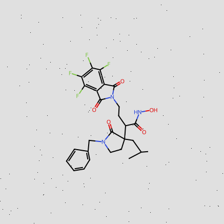 CC(C)CC1(C(CCN2C(=O)c3c(F)c(F)c(F)c(F)c3C2=O)C(=O)NO)CCN(Cc2ccccc2)C1=O